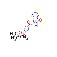 CC(C)(C)OC(=O)N1CCC(C2Cc3[nH]c(=O)c4cccnc4c3CO2)CC1